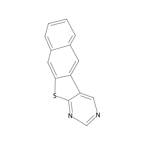 c1ccc2cc3c(cc2c1)sc1ncncc13